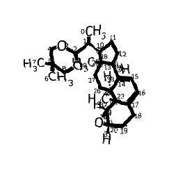 CC(C1OCC(C)(C)CO1)[C@H]1CC[C@H]2C3=CC=C4C[CH][C@@H]5O[C@@H]5[C@]4(C)[C@H]3CC[C@]12C